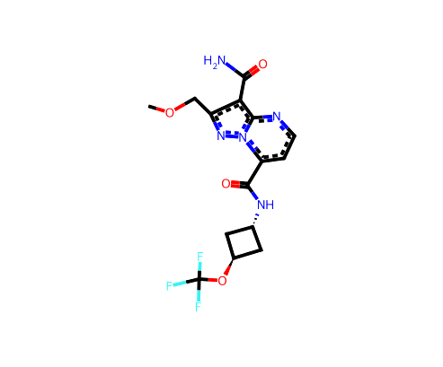 COCc1nn2c(C(=O)N[C@H]3C[C@H](OC(F)(F)F)C3)ccnc2c1C(N)=O